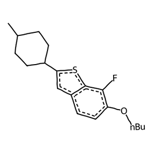 CCCCOc1ccc2cc(C3CCC(C)CC3)sc2c1F